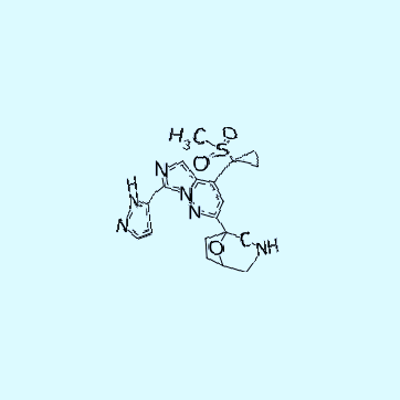 CS(=O)(=O)C1(c2cc(C34CCC(CNC3)O4)nn3c(-c4ccn[nH]4)ncc23)CC1